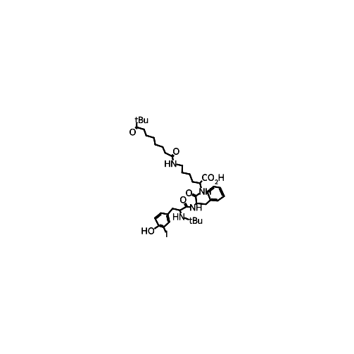 CC(C)(C)NC(Cc1ccc(O)c(I)c1)C(=O)NC(Cc1ccccc1)C(=O)NC(CCCCNC(=O)CCCCCCC(=O)C(C)(C)C)C(=O)O